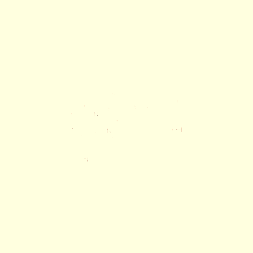 Br.N#Cc1cccn2cc(-c3ccc(C(=O)O)cc3)nc12